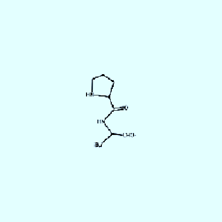 CCC(C)C([C]=O)NC(=O)C1CCCN1